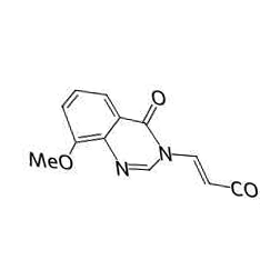 COc1cccc2c(=O)n(C=CC(=O)O)cnc12